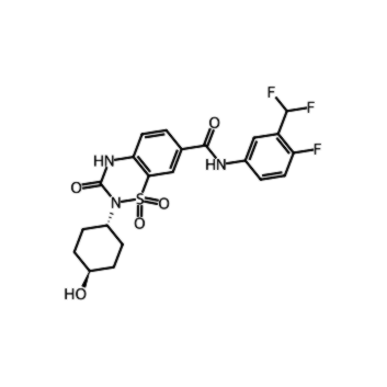 O=C(Nc1ccc(F)c(C(F)F)c1)c1ccc2c(c1)S(=O)(=O)N([C@H]1CC[C@H](O)CC1)C(=O)N2